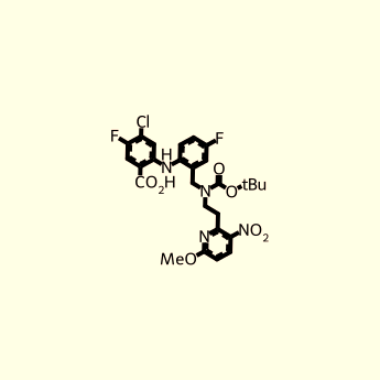 COc1ccc([N+](=O)[O-])c(CCN(Cc2cc(F)ccc2Nc2cc(Cl)c(F)cc2C(=O)O)C(=O)OC(C)(C)C)n1